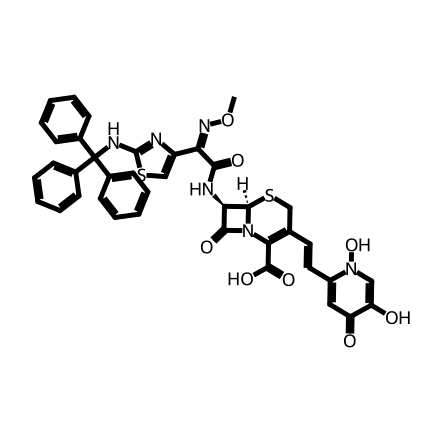 CO/N=C(\C(=O)N[C@@H]1C(=O)N2C(C(=O)O)=C(C=Cc3cc(=O)c(O)cn3O)CS[C@H]12)c1csc(NC(c2ccccc2)(c2ccccc2)c2ccccc2)n1